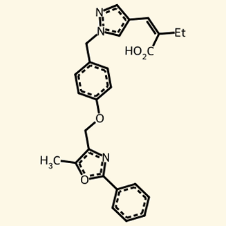 CCC(=Cc1cnn(Cc2ccc(OCc3nc(-c4ccccc4)oc3C)cc2)c1)C(=O)O